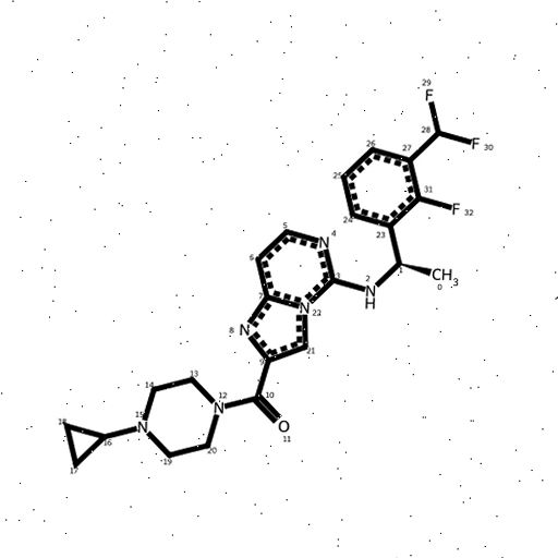 C[C@@H](Nc1nccc2nc(C(=O)N3CCN(C4CC4)CC3)cn12)c1cccc(C(F)F)c1F